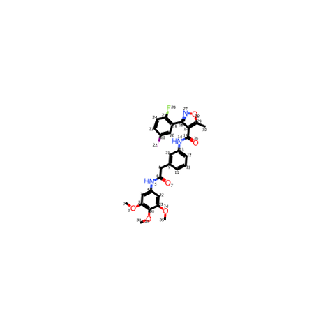 COc1cc(NC(=O)Cc2cccc(NC(=O)c3c(-c4cc(I)ccc4F)noc3C)c2)cc(OC)c1OC